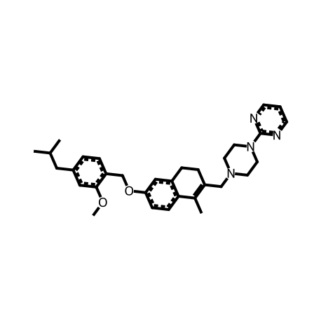 COc1cc(CC(C)C)ccc1COc1ccc2c(c1)CCC(CN1CCN(c3ncccn3)CC1)=C2C